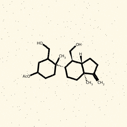 C=C1CC[C@H]2[C@H](CO)[C@@H](C3(C)CCC(OC(C)=O)CC3CO)CC[C@]12C